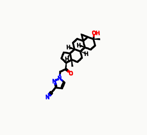 C[C@]12CC[C@H]3[C@@H](CCC45CC4[C@](C)(O)CC[C@H]35)[C@@H]1CC[C@@H]2C(=O)Cn1ccc(C#N)n1